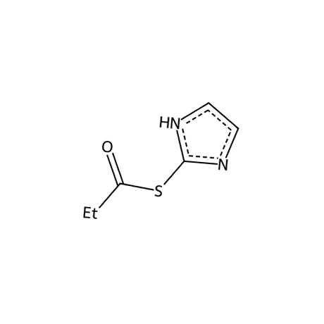 CCC(=O)Sc1ncc[nH]1